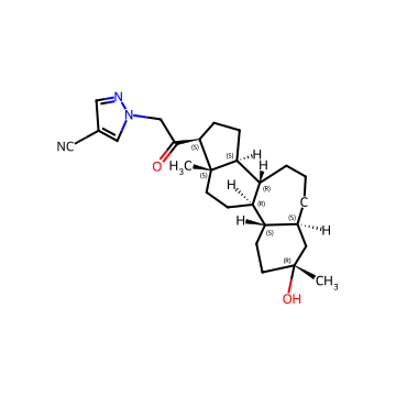 C[C@@]1(O)CC[C@H]2[C@@H](CCC[C@@H]3[C@@H]2CC[C@]2(C)[C@@H](C(=O)Cn4cc(C#N)cn4)CC[C@@H]32)C1